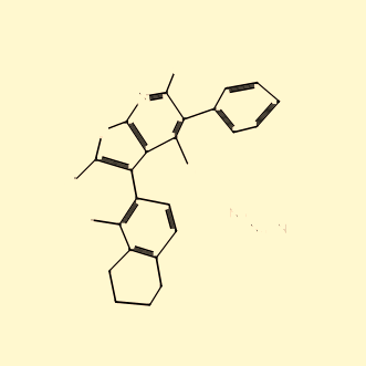 [Na+].[Na+].[Na+].[O-]c1nc2sc(Cl)c(-c3ccc4c(c3[O-])CCCC4)c2c([O-])c1-c1ccccc1